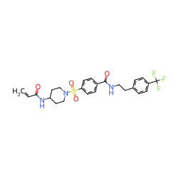 C=CC(=O)NC1CCN(S(=O)(=O)c2ccc(C(=O)NCCc3ccc(C(F)(F)F)cc3)cc2)CC1